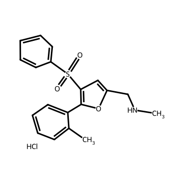 CNCc1cc(S(=O)(=O)c2ccccc2)c(-c2ccccc2C)o1.Cl